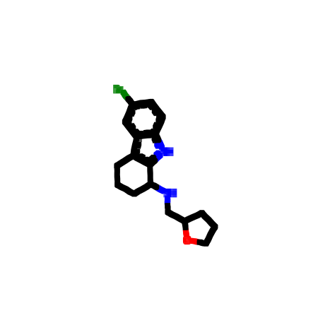 Brc1ccc2[nH]c3c(c2c1)CCCC3NCC1CCCO1